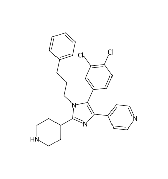 Clc1ccc(-c2c(-c3ccncc3)nc(C3CCNCC3)n2CCCc2ccccc2)cc1Cl